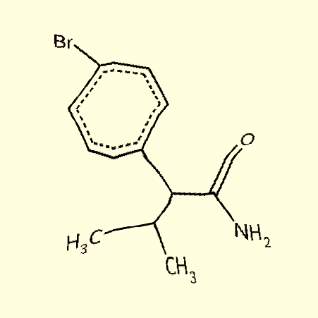 CC(C)C(C(N)=O)c1ccc(Br)cc1